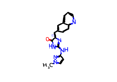 Cn1ccc(NC2=N/C(=C\c3ccc4ncccc4c3)C(=O)N2)n1